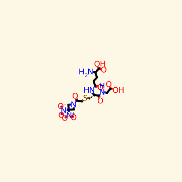 NC(CCC(=O)N[C@@H](CSCC(=O)N1CC([N+](=O)[O-])([N+](=O)[O-])C1)C(=O)NCC(=O)O)C(=O)O